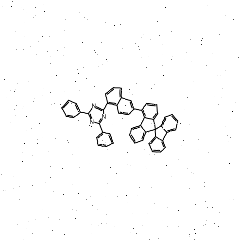 c1ccc(-c2nc(-c3ccccc3)nc(-c3cccc4cc(-c5cccc6c5-c5ccccc5C65c6ccccc6-c6ccccc65)ccc34)n2)cc1